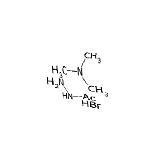 Br.CC(=O)NN.CN(C)C